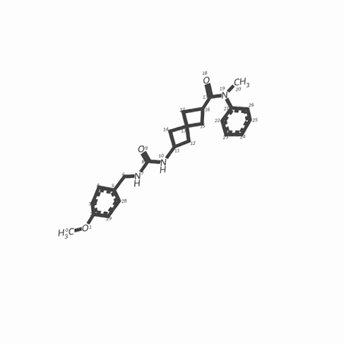 COc1ccc(CNC(=O)NC2CC3(C2)CC(C(=O)N(C)c2ccccc2)C3)cc1